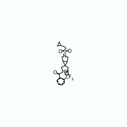 O=C(NCC1(CC2CC2)C2CN(S(=O)(=O)CC3CC3)CC21)c1ccccc1C(F)(F)F